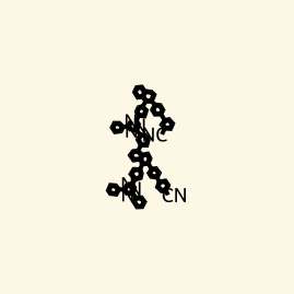 N#Cc1ccc(-c2ccc(-c3ccc4c(-c5cccc(-c6nc(-c7ccccc7)nc(-c7ccc(-c8c(-c9ccc(-c%10cccc(C#N)c%10)cc9)ccc9ccccc89)cc7)n6)c5)cccc4c3-c3ccc(-c4nc(-c5ccccc5)nc(-c5ccccc5)n4)cc3)cc2)cc1